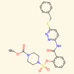 CC(C)(C)OC(=O)N1CCN(S(=O)(=O)Oc2ccccc2C(=O)Nc2ccc(SCc3ccccc3)nn2)CC1